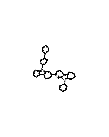 c1ccc(-c2ccc(-n3c4ccccc4c4ccc(-c5ccc6c7ccccc7n(-c7ccccc7)c6n5)cc43)cc2)cc1